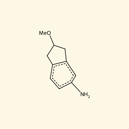 COC1Cc2ccc(N)cc2C1